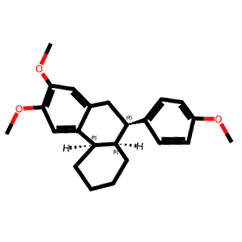 COc1ccc([C@@H]2Cc3cc(OC)c(OC)cc3[C@@H]3CCCC[C@H]23)cc1